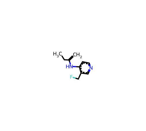 C=C(CC)Nc1ccncc1CF